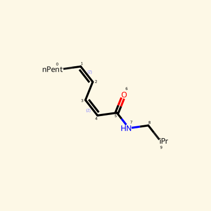 CCCCC/C=C\C=C/C(=O)NCC(C)C